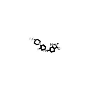 Cn1[nH]c2cc(Nc3ccc(N4CCC(C(F)(F)F)CC4)c(F)c3)ccc2c1=O